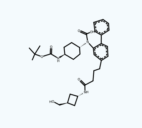 CC(C)(C)OC(=O)N[C@H]1CC[C@H](N(C(=O)O)c2cc(CCCC(=O)N[C@H]3C[C@H](CO)C3)ccc2-c2ccccc2)CC1